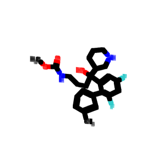 COC(=O)NCCCC(O)(c1cc(F)cc(F)c1-c1cccc(C)c1)C1CCCNC1